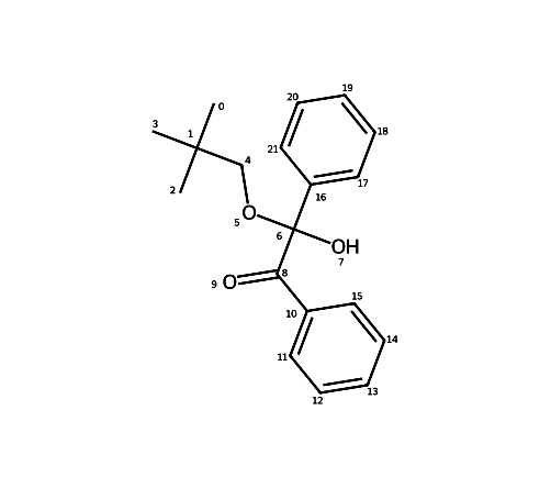 CC(C)(C)COC(O)(C(=O)c1ccccc1)c1ccccc1